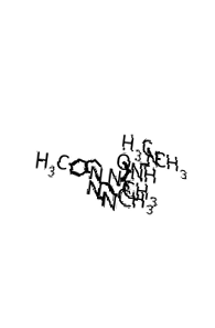 C/C(=N\c1c(C)ncnc1N1CCc2cc(C)ccc21)C(=O)NCCN(C)C